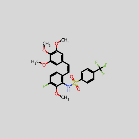 COc1cc(/C=C\c2ccc(F)c(OC)c2NS(=O)(=O)c2ccc(C(F)(F)F)cc2)cc(OC)c1OC